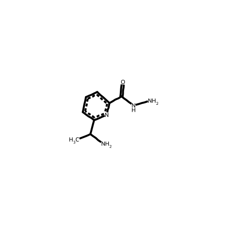 CC(N)c1cccc(C(=O)NN)n1